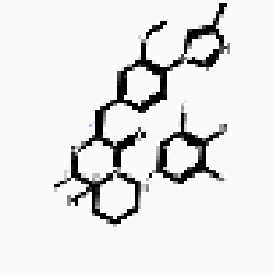 COc1cc(/C=C2/O[C@H](C)[C@H]3CCC[C@@H](c4cc(F)c(F)c(F)c4)N3C2=O)ccc1-n1cnc(C)c1